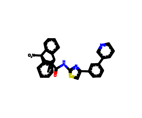 CC1(C(=O)Nc2nc(-c3cccc(-c4cccnc4)c3)cs2)CC2([N+](=O)[O-])c3ccccc3C1c1ccccc12